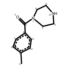 Cc1ccc(C(=O)N2CCNCC2)cc1